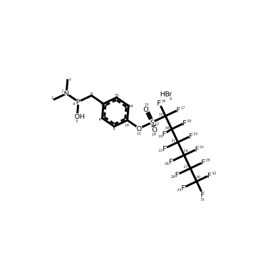 Br.CN(C)P(O)Cc1ccc(OS(=O)(=O)C(F)(F)C(F)(F)C(F)(F)C(F)(F)C(F)(F)C(F)(F)F)cc1